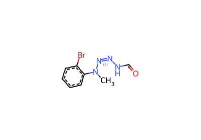 CN(/N=N\NC=O)c1ccccc1Br